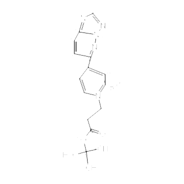 CC(C)(C)OC(=O)CC[n+]1ccc(-c2ccc3ncnn3n2)cc1.[Br-]